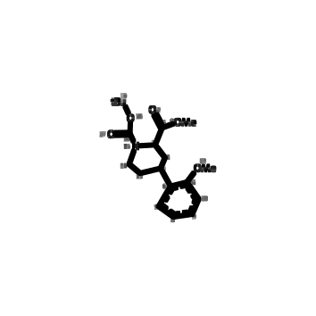 COC(=O)C1CC(c2ccccc2OC)CCN1C(=O)OC(C)(C)C